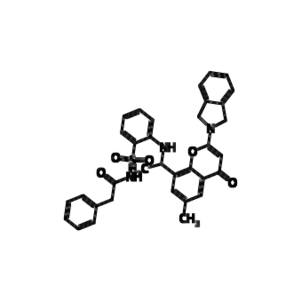 Cc1cc(C(C)Nc2ccccc2S(=O)(=O)NC(=O)Cc2ccccc2)c2oc(N3Cc4ccccc4C3)cc(=O)c2c1